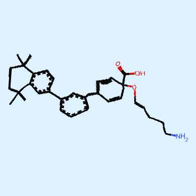 CC1(C)CCC(C)(C)c2cc(-c3cccc(C4C=CC(OCCCCCN)(C(=O)O)C=C4)c3)ccc21